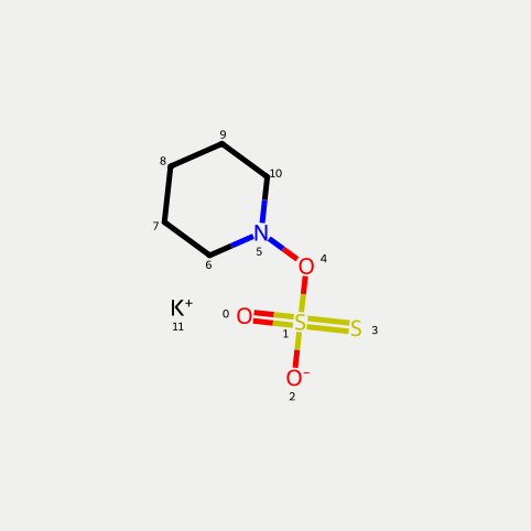 O=S([O-])(=S)ON1CCCCC1.[K+]